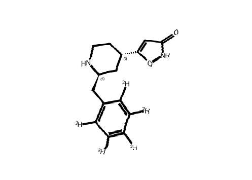 [2H]c1c([2H])c([2H])c(C[C@@H]2C[C@@H](c3cc(=O)[nH]o3)CCN2)c([2H])c1[2H]